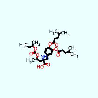 CCC(C)OC(=O)O[C@@H](C)CC(N)(Cc1ccc(OC(=O)CCC(C)C)c(OC(=O)CCC(C)C)c1)C(=O)O